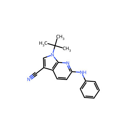 CC(C)(C)n1cc(C#N)c2ccc(Nc3ccccc3)nc21